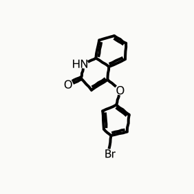 O=c1cc(Oc2ccc(Br)cc2)c2ccccc2[nH]1